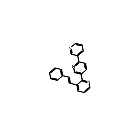 C(=Cc1cccnc1-c1ccc(-c2cccnc2)nc1)c1ccccc1